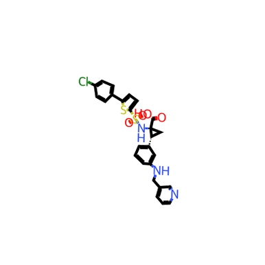 O=C(O)[C@]1(NS(=O)(=O)c2ccc(-c3ccc(Cl)cc3)s2)C[C@@H]1c1cccc(NCc2cccnc2)c1